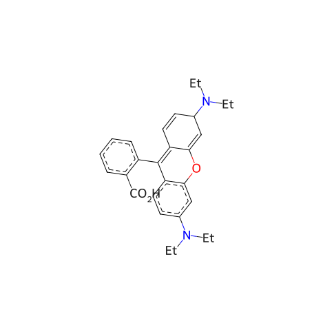 CCN(CC)c1ccc2c(c1)OC1=CC(N(CC)CC)C=CC1=C2c1ccccc1C(=O)O